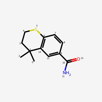 CC1(C)CCSc2ccc(C(N)=O)cc21